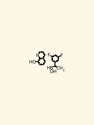 C=C(BO)c1cc(F)cc(F)c1.Oc1cccc2cccnc12